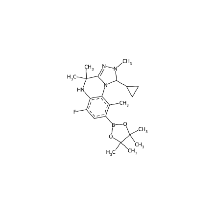 Cc1c(B2OC(C)(C)C(C)(C)O2)cc(F)c2c1N1C(=NN(C)C1C1CC1)C(C)(C)N2